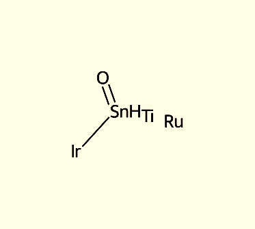 [O]=[SnH][Ir].[Ru].[Ti]